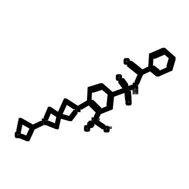 O=C(NS(=O)(=O)c1ccc(N2CC3(C2)CN(C2COC2)C3)c([N+](=O)[O-])c1)c1ccccc1